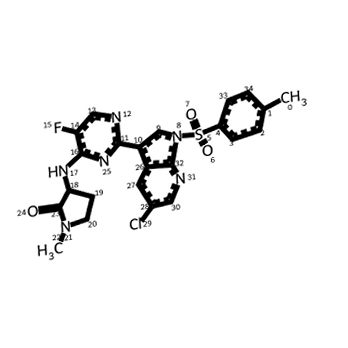 Cc1ccc(S(=O)(=O)n2cc(-c3ncc(F)c(NC4CCN(C)C4=O)n3)c3cc(Cl)cnc32)cc1